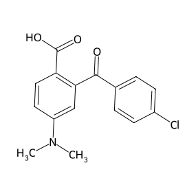 CN(C)c1ccc(C(=O)O)c(C(=O)c2ccc(Cl)cc2)c1